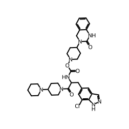 O=C(NC(Cc1cc(Cl)c2[nH]ncc2c1)C(=O)N1CCC(N2CCCCC2)CC1)ON1CCC(N2Cc3ccccc3NC2=O)CC1